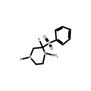 NN1CCN(F)CC1(F)S(=O)(=O)c1ccccc1